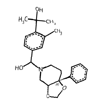 Cc1cc(C(O)N2CC[C@]3(c4ccccc4)OCOC3C2)ccc1C(C)(C)O